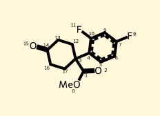 COC(=O)C1(c2ccc(F)cc2F)CCC(=O)CC1